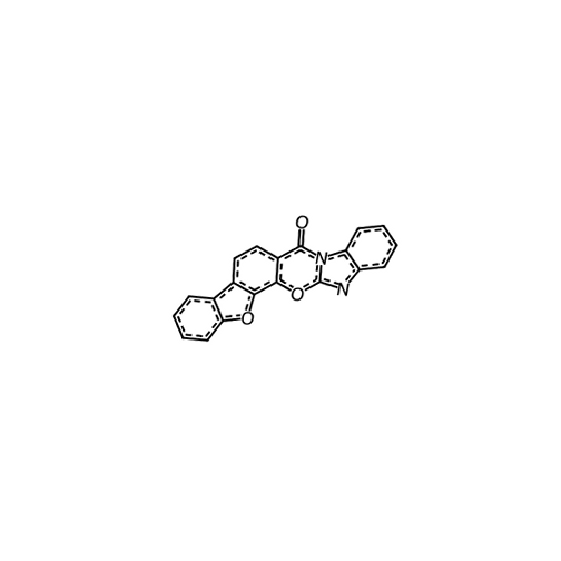 O=c1c2ccc3c4ccccc4oc3c2oc2nc3ccccc3n12